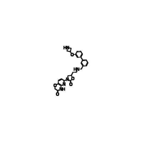 O=C1COc2ccc(N3CC(CCNCc4cccc(-c5cccc(OC6CNC6)c5)c4)OC3=O)nc2N1